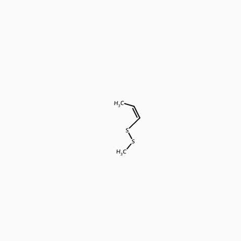 C/C=C\SSC